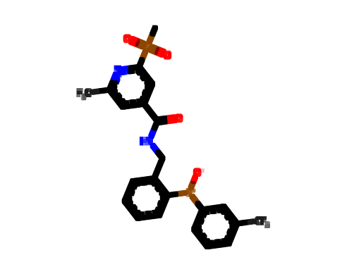 CS(=O)(=O)c1cc(C(=O)NCc2ccccc2[S+]([O-])c2cccc(C(F)(F)F)c2)cc(C(F)(F)F)n1